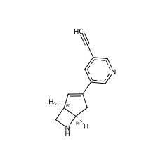 C#Cc1cncc(C2=C[C@@H]3CN[C@@H]3C2)c1